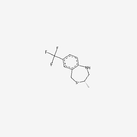 C[C@H]1CNc2ccc(C(F)(F)F)cc2CS1